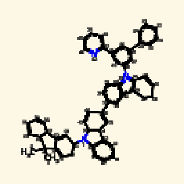 CC1(C)C2=CCC(N3c4ccccc4C4C=C(c5ccc6c(c5)c5c(n6-c6cc(-c7ccccc7)cc(-c7ccccn7)c6)C=CCC5)C=CC43)C=C2C2C=CC=CC21